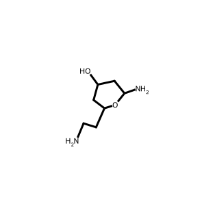 NCCC1CC(O)CC(N)O1